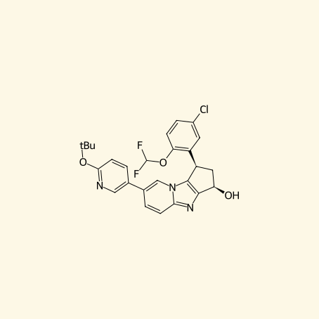 CC(C)(C)Oc1ccc(-c2ccc3nc4c(n3c2)[C@@H](c2cc(Cl)ccc2OC(F)F)C[C@H]4O)cn1